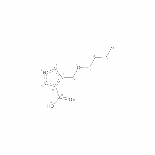 CCCCOCn1nnnc1C(=O)O